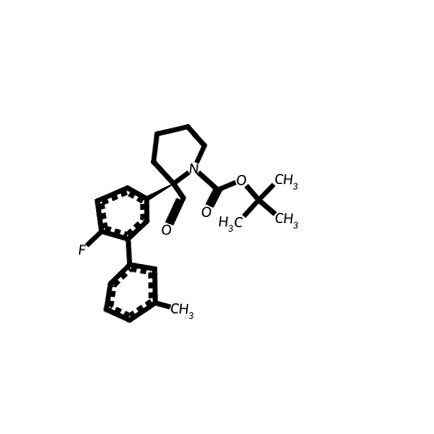 Cc1cccc(-c2cc([C@@]3(C=O)CCCCN3C(=O)OC(C)(C)C)ccc2F)c1